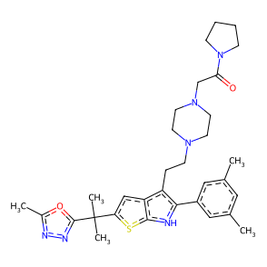 Cc1cc(C)cc(-c2[nH]c3sc(C(C)(C)c4nnc(C)o4)cc3c2CCN2CCN(CC(=O)N3CCCC3)CC2)c1